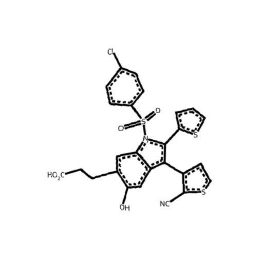 N#Cc1sccc1-c1c(-c2cccs2)n(S(=O)(=O)c2ccc(Cl)cc2)c2cc(CCC(=O)O)c(O)cc12